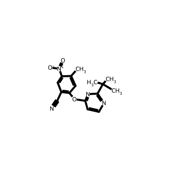 Cc1cc(Oc2ccnc(C(C)(C)C)n2)c(C#N)cc1[N+](=O)[O-]